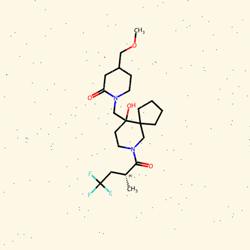 COCC1CCN(CC2(O)CCN(C(=O)[C@H](C)CC(F)(F)F)CC23CCCC3)C(=O)C1